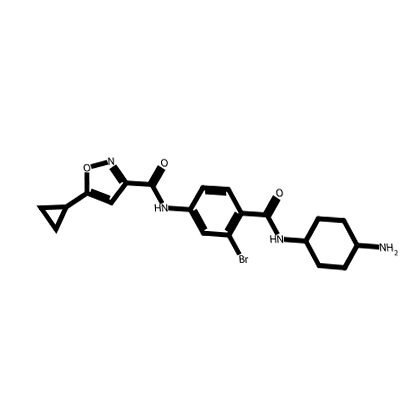 NC1CCC(NC(=O)c2ccc(NC(=O)c3cc(C4CC4)on3)cc2Br)CC1